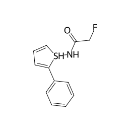 O=C(CF)N[SH]1C=CC=C1c1ccccc1